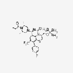 BC(B)(B)OC[C@H]1CSc2c(-c3ccc(F)cc3)c(C(F)(F)F)cc3c(N4C[C@@H](C)N(C(=O)C=C)[C@@H](C)C4)nc(=O)n1c23